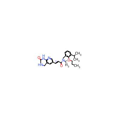 CCCOc1c(CN(C)C(=O)/C=C/c2cnc3c(c2)CNCC(=O)N3)cccc1C(C)C